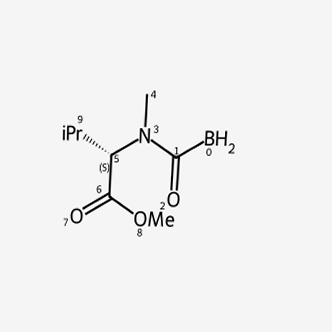 BC(=O)N(C)[C@H](C(=O)OC)C(C)C